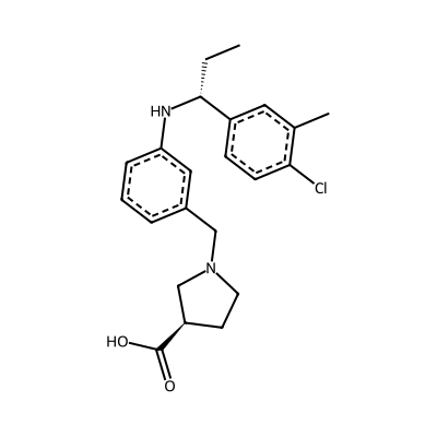 CC[C@@H](Nc1cccc(CN2CC[C@@H](C(=O)O)C2)c1)c1ccc(Cl)c(C)c1